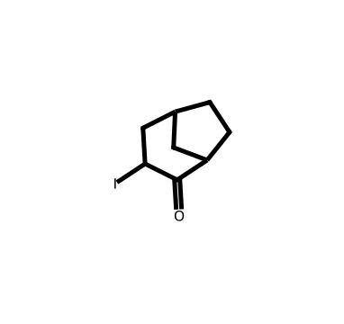 O=C1C(I)CC2CCC1C2